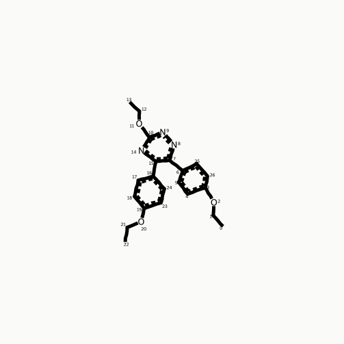 CCOc1ccc(-c2nnc(OCC)nc2-c2ccc(OCC)cc2)cc1